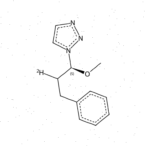 [2H]C(Cc1ccccc1)[C@H](OC)n1ccnn1